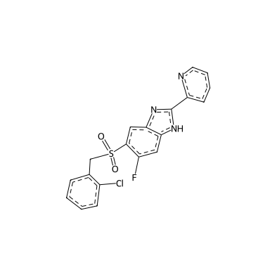 O=S(=O)(Cc1ccccc1Cl)c1cc2nc(-c3ccccn3)[nH]c2cc1F